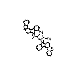 C/C(=C(C#N)\C=C(/C(C)C#N)n1c2ccccc2c2c3c(ccc21)SC1C=CC=CC31)n1c2ccccc2c2c3c(ccc21)sc1ccccc13